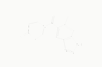 Cc1cc2[nH]nnc2cc1C(=O)N1CCC(=O)C[C@H]1C